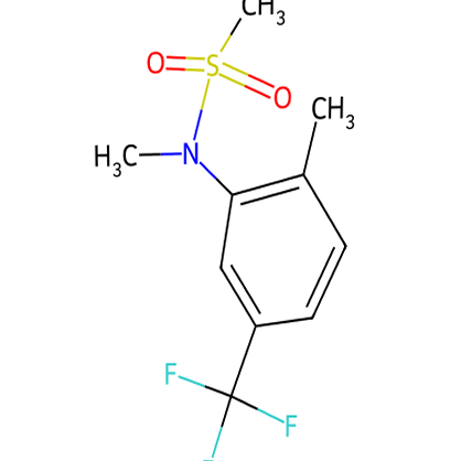 Cc1ccc(C(F)(F)F)cc1N(C)S(C)(=O)=O